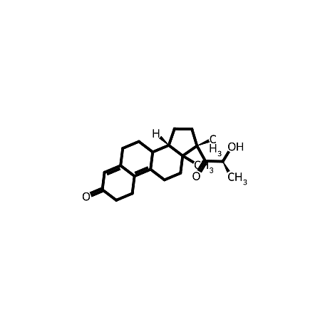 C[C@H](O)C(=O)[C@@]1(C)CC[C@H]2C3CCC4=CC(=O)CCC4=C3CCC21C